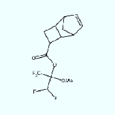 COC(OC(=O)C1CC2C3C=CC(C3)C12)(C(F)F)C(F)(F)F